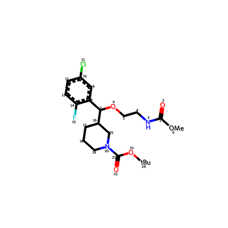 COC(=O)NCCOC(c1cc(Cl)ccc1F)C1CCCN(C(=O)OC(C)(C)C)C1